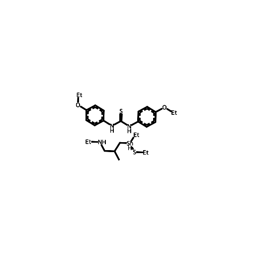 CCNCC(C)[CH2][SnH]([CH2]C)[S]CC.CCOc1ccc(NC(=S)Nc2ccc(OCC)cc2)cc1